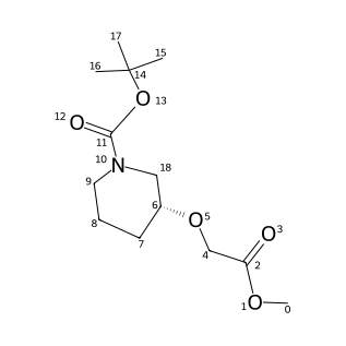 COC(=O)CO[C@@H]1CCCN(C(=O)OC(C)(C)C)C1